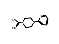 N=C(N)N1CCN(c2ccccn2)CC1